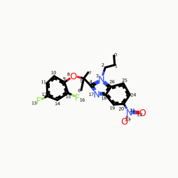 CCCn1c(C(C)(C)Oc2ccc(F)cc2F)nc2cc([N+](=O)[O-])ccc21